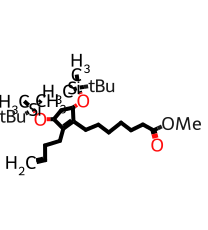 C=CCCC1=C(CCCCCCC(=O)OC)C(O[Si](C)(C)C(C)(C)C)CC1O[Si](C)(C)C(C)(C)C